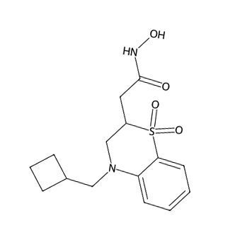 O=C(CC1CN(CC2CCC2)c2ccccc2S1(=O)=O)NO